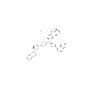 CC1(C)c2ccccc2-c2cc(N(c3ccc(-c4ccc5sc6c7ccccc7ccc6c5c4)cc3)c3ccc(-c4cccc5ccccc45)cc3)ccc21